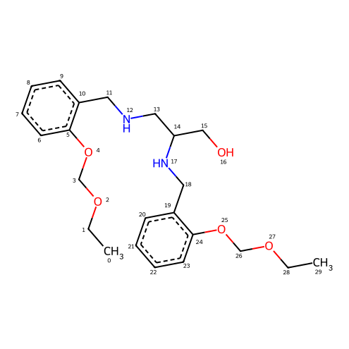 CCOCOc1ccccc1CNCC(CO)NCc1ccccc1OCOCC